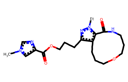 CCn1nc(CCCOC(=O)c2cn(C)cn2)c2c1C(=O)NCCCOCCC2